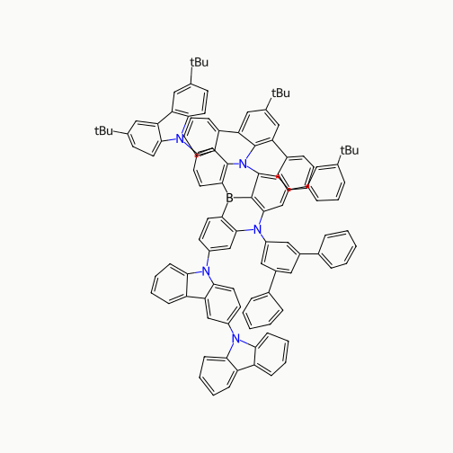 CC(C)(C)c1cccc(-c2cc3c4c(c2)N(c2c(-c5ccccc5)cc(C(C)(C)C)cc2-c2ccccc2)c2cc(-n5c6ccc(C(C)(C)C)cc6c6cc(C(C)(C)C)ccc65)ccc2B4c2ccc(-n4c5ccccc5c5cc(-n6c7ccccc7c7ccccc76)ccc54)cc2N3c2cc(-c3ccccc3)cc(-c3ccccc3)c2)c1